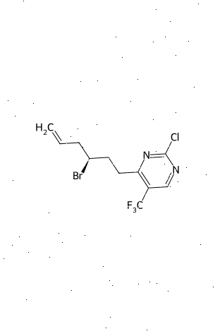 C=CC[C@H](Br)CCc1nc(Cl)ncc1C(F)(F)F